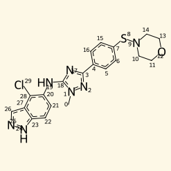 Cn1nc(-c2ccc(SN3CCOCC3)cc2)nc1Nc1ccc2[nH]ncc2c1Cl